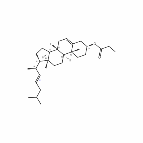 CCC(=O)O[C@H]1CC[C@@]2(C)C(=CC[C@H]3[C@@H]4CC[C@H]([C@H](C)/C=C/CC(C)C)[C@@]4(C)CC[C@@H]32)C1